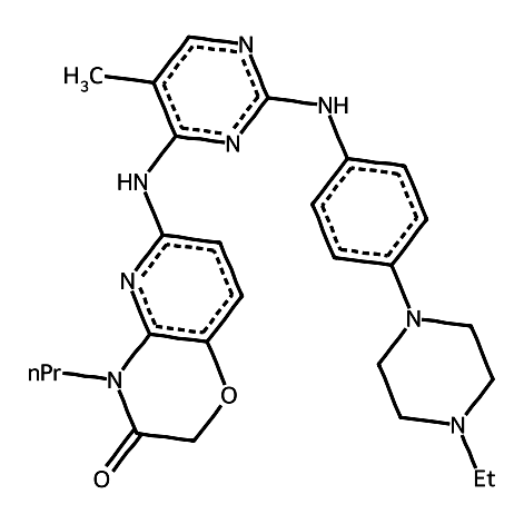 CCCN1C(=O)COc2ccc(Nc3nc(Nc4ccc(N5CCN(CC)CC5)cc4)ncc3C)nc21